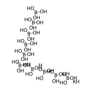 OB(O)O.OB(O)O.OB(O)O.OB(O)O.OB(O)O.OB(O)O.OB(O)O.OB(O)O.OB(O)O.OB(O)O.[KH]